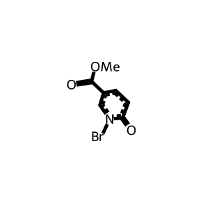 COC(=O)c1ccc(=O)n(Br)c1